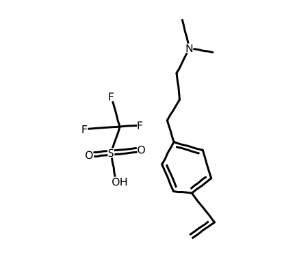 C=Cc1ccc(CCCN(C)C)cc1.O=S(=O)(O)C(F)(F)F